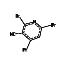 CC(C)c1cc(C(C)C)c(C#N)c(Br)n1